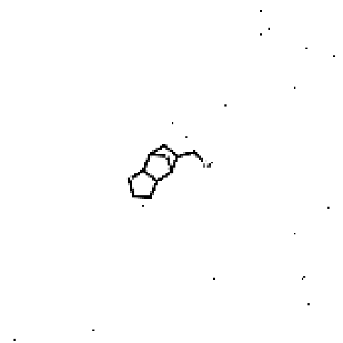 CC(=O)CC1CC2CC1C1CCCC21